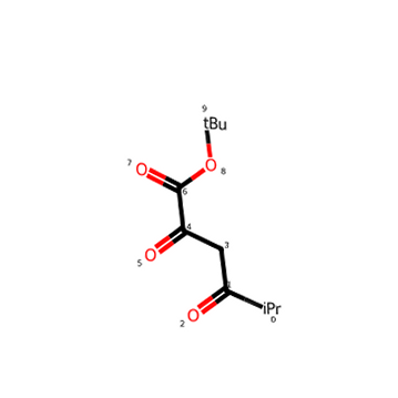 CC(C)C(=O)CC(=O)C(=O)OC(C)(C)C